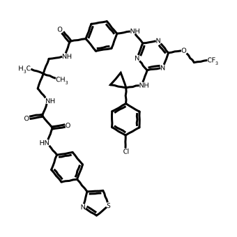 CC(C)(CNC(=O)C(=O)Nc1ccc(-c2cscn2)cc1)CNC(=O)c1ccc(Nc2nc(NC3(c4ccc(Cl)cc4)CC3)nc(OCC(F)(F)F)n2)cc1